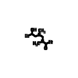 CCC(=O)N(C)CN(C)CC(O)CC